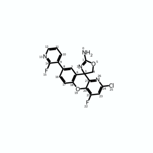 NC1=NC2(CO1)c1cc(-c3cccnc3F)ccc1Oc1c(F)cc(Cl)nc12